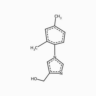 Cc1ccc(-n2cnc(CO)c2)c(C)c1